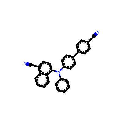 N#Cc1ccc(-c2ccc(N(c3ccccc3)c3ccc(C#N)c4ccccc34)cc2)cc1